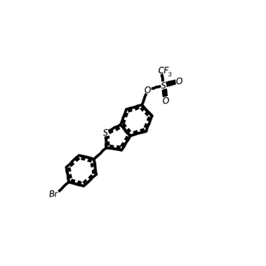 O=S(=O)(Oc1ccc2cc(-c3ccc(Br)cc3)sc2c1)C(F)(F)F